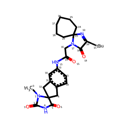 CN1C(=O)NC(=O)C12Cc1ccc(NC(=O)CN3C(=O)C(C(C)(C)C)=NC34CCCCCC4)cc1C2